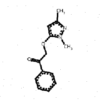 Cc1cc(OCC(=O)c2ccccc2)n(C)n1